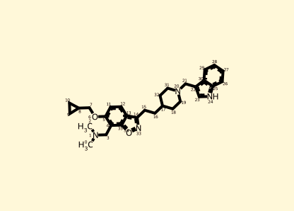 CN(C)Cc1c(OCC2CC2)ccc2c(CCC3CCN(Cc4c[nH]c5ccccc45)CC3)noc12